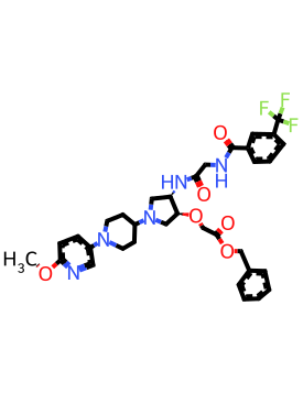 COc1ccc(N2CCC(N3C[C@H](NC(=O)CNC(=O)c4cccc(C(F)(F)F)c4)[C@@H](OCC(=O)OCc4ccccc4)C3)CC2)cn1